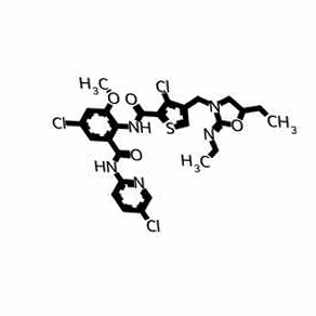 CCN=C1OC(CC)CN1Cc1csc(C(=O)Nc2c(OC)cc(Cl)cc2C(=O)Nc2ccc(Cl)cn2)c1Cl